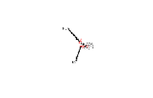 CCCCCCCCCCCCCCCC(=O)OCC(COC(C)COC(C)(C)C)OC(=O)CCCCCCCCCCCCC